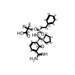 N=C(N)C1=CC=C[C@@H](C(NS(=O)(=O)CCc2ccccc2)N2CCCC2)C1=O.O=C(O)C(F)(F)F